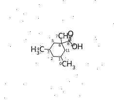 CC1CC(C)CC(C)(C(=O)O)C1